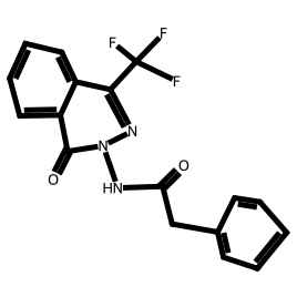 O=C(Cc1ccccc1)Nn1nc(C(F)(F)F)c2ccccc2c1=O